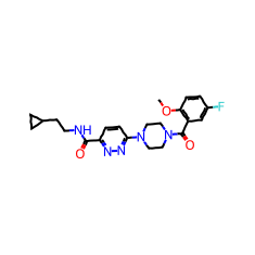 COc1ccc(F)cc1C(=O)N1CCN(c2ccc(C(=O)NCCC3CC3)nn2)CC1